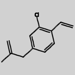 C=Cc1ccc(CC(=C)C)cc1Cl